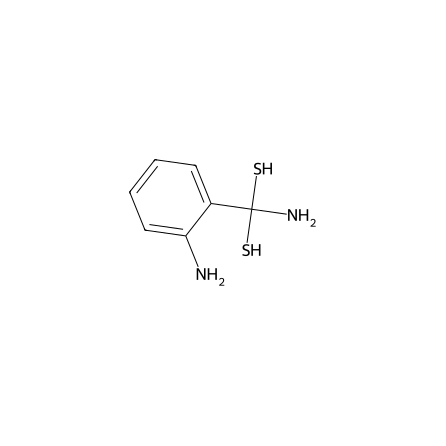 Nc1ccccc1C(N)(S)S